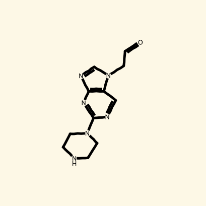 O=CCn1cnc2nc(N3CCNCC3)ncc21